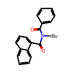 CC(C)(C)N(C(=O)c1ccccc1)C(=O)c1cccc2ccccc12